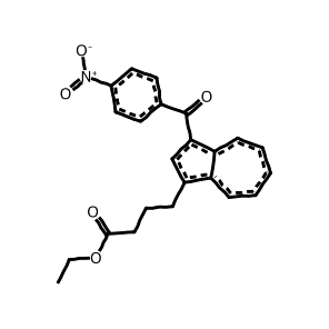 CCOC(=O)CCCc1cc(C(=O)c2ccc([N+](=O)[O-])cc2)c2cccccc1-2